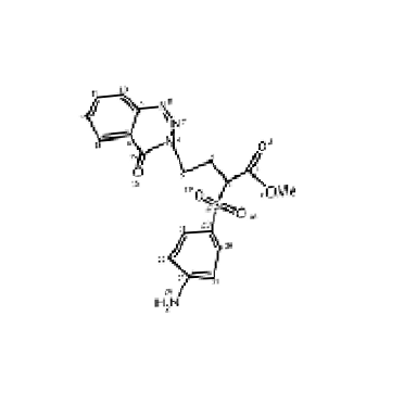 COC(=O)C(CCn1nnc2ccccc2c1=O)S(=O)(=O)c1ccc(N)cc1